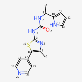 Cc1nc(NC(=O)NC(C)c2ccc[nH]2)sc1-c1ccncc1